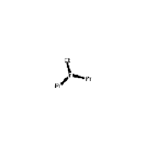 C[CH2][In]([CH](C)C)[CH](C)C